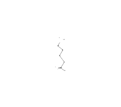 CCC(N)CCCCB(O)O